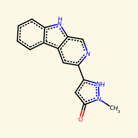 Cn1[nH]c(-c2cc3c(cn2)[nH]c2ccccc23)cc1=O